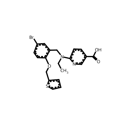 CCN(Cc1cc(Br)ccc1OCc1cccs1)c1ccc(C(=O)O)cn1